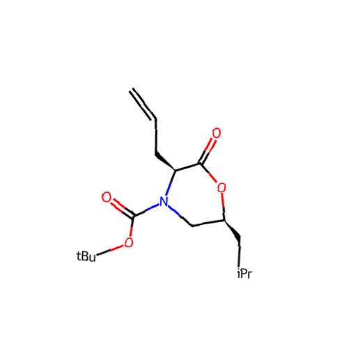 C=CC[C@H]1C(=O)O[C@@H](CC(C)C)CN1C(=O)OC(C)(C)C